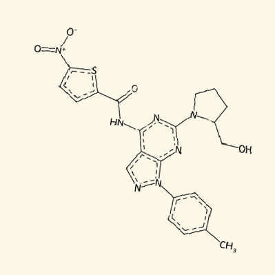 Cc1ccc(-n2ncc3c(NC(=O)c4ccc([N+](=O)[O-])s4)nc(N4CCCC4CO)nc32)cc1